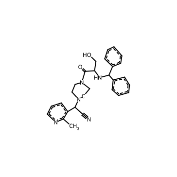 Cc1ncccc1C(C#N)N1CCN(C(=O)C(CO)NC(c2ccccc2)c2ccccc2)CC1